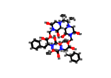 C[C@H]([C@H](C)N1CC(=O)N(COC(=O)[C@H](Cc2ccccc2)NC(=O)OC(C)(C)C)C(=O)C1)N1CC(=O)N(COC(=O)[C@H](Cc2ccccc2)NC(=O)OC(C)(C)C)C(=O)C1